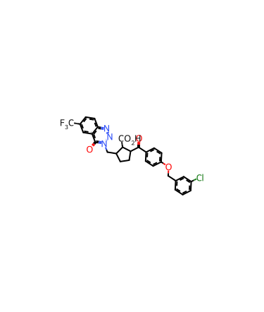 O=C(c1ccc(OCc2cccc(Cl)c2)cc1)C1CCC(Cn2nnc3ccc(C(F)(F)F)cc3c2=O)C1C(=O)O